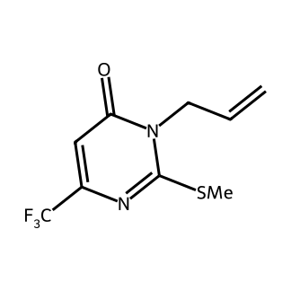 C=CCn1c(SC)nc(C(F)(F)F)cc1=O